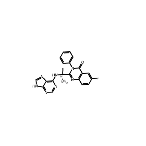 B[C@@](C)(Nc1ncnc2[nH]cnc12)c1nc2ccc(F)cc2c(=O)n1-c1ccccc1